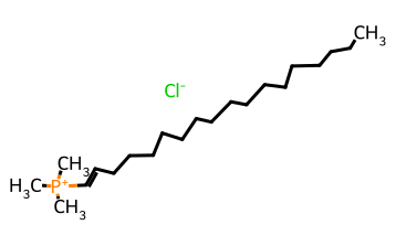 CCCCCCCCCCCCCCCCC=C[P+](C)(C)C.[Cl-]